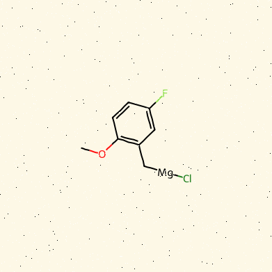 COc1ccc(F)cc1[CH2][Mg][Cl]